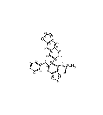 C/C(I)=C/c1c2c(cc(Cc3ccccc3)c1-c1ccc3cc4c(cc3c1)OCO4)OCO2